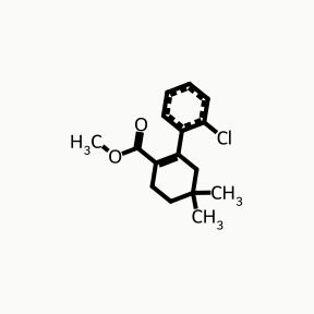 COC(=O)C1=C(c2ccccc2Cl)CC(C)(C)CC1